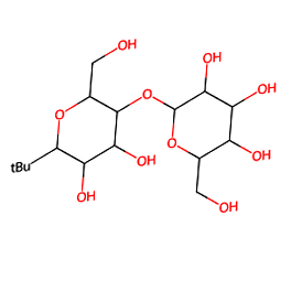 CC(C)(C)C1OC(CO)C(OC2OC(CO)C(O)C(O)C2O)C(O)C1O